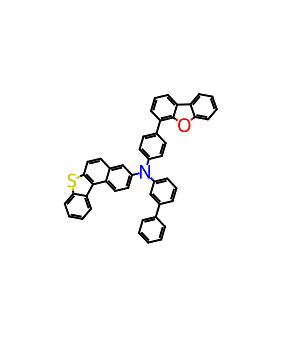 c1ccc(-c2cccc(N(c3ccc(-c4cccc5c4oc4ccccc45)cc3)c3ccc4c(ccc5sc6ccccc6c54)c3)c2)cc1